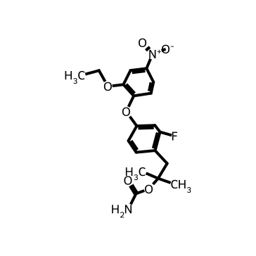 CCOc1cc([N+](=O)[O-])ccc1Oc1ccc(CC(C)(C)OC(N)=O)c(F)c1